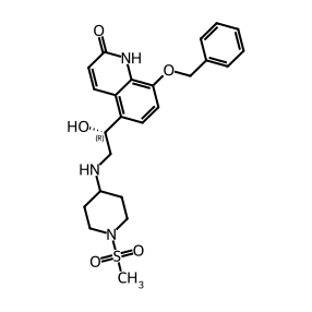 CS(=O)(=O)N1CCC(NC[C@H](O)c2ccc(OCc3ccccc3)c3[nH]c(=O)ccc23)CC1